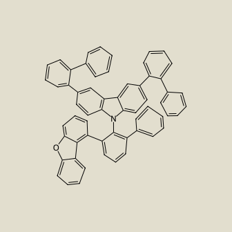 c1ccc(-c2ccccc2-c2ccc3c(c2)c2cc(-c4ccccc4-c4ccccc4)ccc2n3-c2c(-c3ccccc3)cccc2-c2cccc3oc4ccccc4c23)cc1